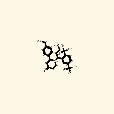 CCCC(c1cc(C(F)(F)F)ccc1C(F)(F)F)N1CCC(=O)CC1c1ccc(CF)cc1